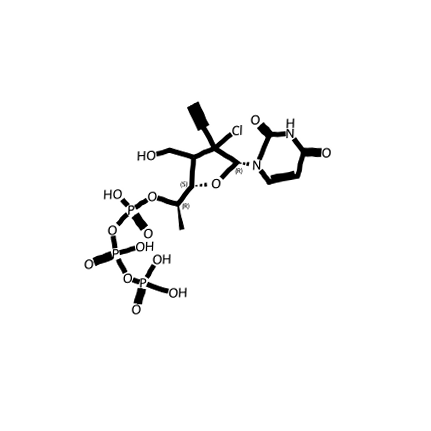 C#CC1(Cl)C(CO)[C@@H]([C@@H](C)OP(=O)(O)OP(=O)(O)OP(=O)(O)O)O[C@H]1n1ccc(=O)[nH]c1=O